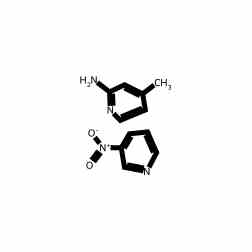 Cc1ccnc(N)c1.O=[N+]([O-])c1cccnc1